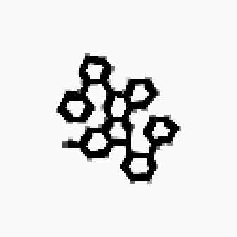 Clc1ccc2c(-c3ccccc3-c3ccccc3)cc3c4ccccc4c(-c4ccccc4-c4ccccc4)cc3c2c1